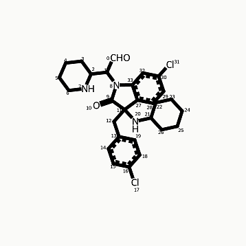 O=CC(C1CCCCN1)N1C(=O)C(Cc2ccc(Cl)cc2)(NC2CCCCC2)c2ccc(Cl)cc21